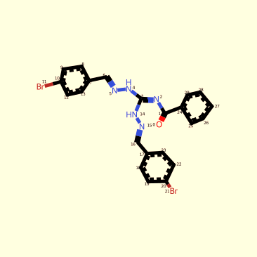 O=C(N=C(NN=Cc1ccc(Br)cc1)NN=Cc1ccc(Br)cc1)c1ccccc1